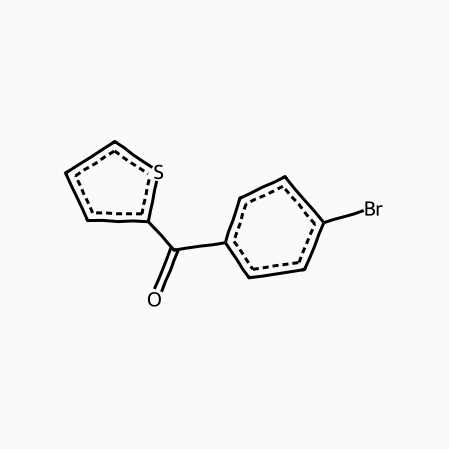 O=C(c1ccc(Br)cc1)c1cccs1